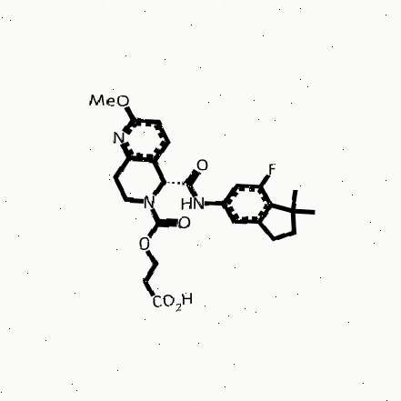 COc1ccc2c(n1)CCN(C(=O)OCCC(=O)O)[C@H]2C(=O)Nc1cc(F)c2c(c1)CCC2(C)C